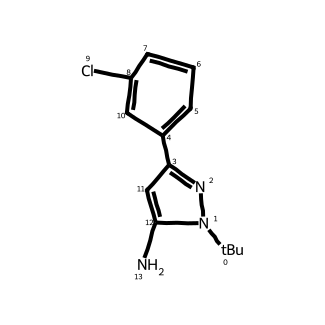 CC(C)(C)n1nc(-c2cccc(Cl)c2)cc1N